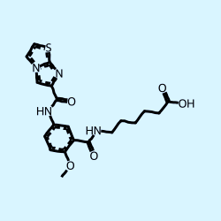 COc1ccc(NC(=O)c2cn3ccsc3n2)cc1C(=O)NCCCCCC(=O)O